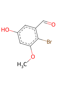 COc1cc(O)cc(C=O)c1Br